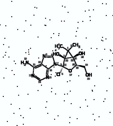 CC1(C)[C@@]2(O)[C@](Cl)(n3cnc4c(N)ncnc43)O[C@H](CO)[C@@]12O